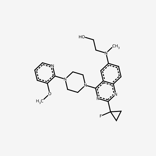 COc1cccnc1N1CCN(c2nc(C3(F)CC3)nc3ccc(N(C)CCO)cc23)CC1